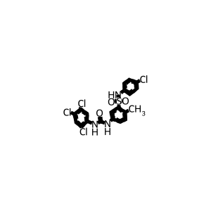 Cc1ccc(NC(=O)Nc2cc(Cl)c(Cl)cc2Cl)cc1S(=O)(=O)Nc1ccc(Cl)cc1